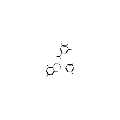 O=C(O[C@H]1Cc2c(O)cc(O)cc2O[C@@H]1c1cc(O)cc(O)c1)c1cc(O)c(O)c(O)c1